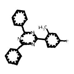 Cc1cc(F)ccc1-c1nc(-c2ccccc2)nc(-c2ccccc2)n1